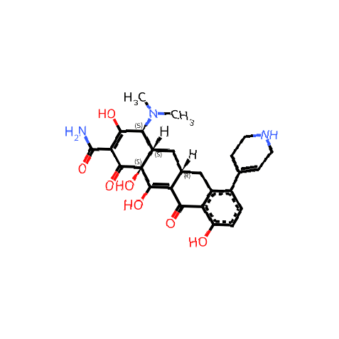 CN(C)[C@@H]1C(O)=C(C(N)=O)C(=O)[C@@]2(O)C(O)=C3C(=O)c4c(O)ccc(C5=CCNCC5)c4C[C@H]3C[C@@H]12